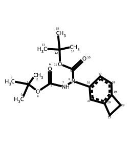 CC(C)(C)OC(=O)NN(C(=O)OC(C)(C)C)c1ccc2c(c1)CC2